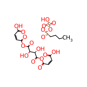 CCCCS(=O)(=O)OS(=O)(=O)O.O=C(O)/C=C\C(=O)OC(=O)C(O)C(O)C(=O)OC(=O)/C=C\C(=O)O